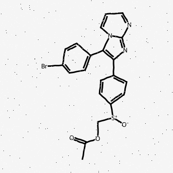 CC(=O)OC[S+]([O-])c1ccc(-c2nc3ncccn3c2-c2ccc(Br)cc2)cc1